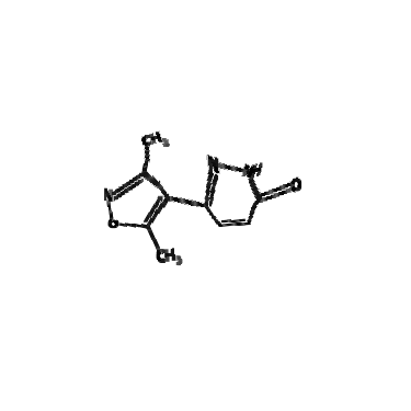 Cc1noc(C)c1-c1ccc(=O)[nH]n1